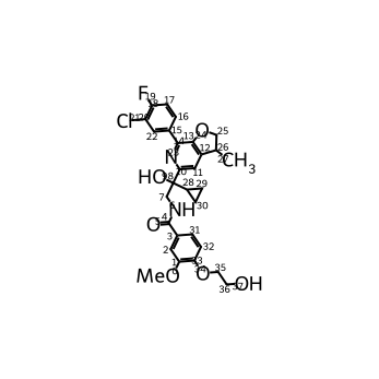 COc1cc(C(=O)NCC(O)(c2cc3c(c(-c4ccc(F)c(Cl)c4)n2)OCC3C)C2CC2)ccc1OCCO